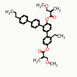 C=C(COC)C(=O)Oc1ccc(-c2ccc(OC(=O)C(=C)COC)c(-c3ccc(-c4ccc(CCC)cc4)cc3)c2)c(CC)c1